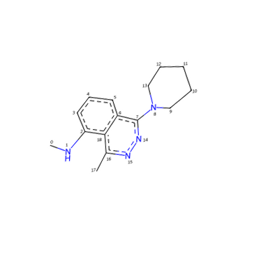 CNc1cccc2c(N3CCCCC3)nnc(C)c12